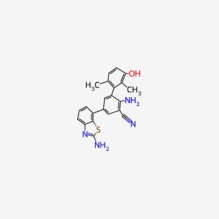 Cc1ccc(O)c(C)c1-c1cc(-c2cccc3nc(N)sc23)cc(C#N)c1N